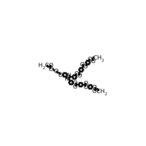 C=CC(=O)OCCOCCOc1ccc2nc(-c3cccc(OC(=O)c4ccc(C(=O)Oc5ccc(OC(=O)C=C)cc5)cc4)c3)c(-c3cccc(OC(=O)c4ccc(C(=O)Oc5ccc(OC(=O)C=C)cc5)cc4)c3)nc2c1